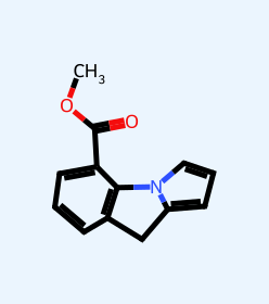 COC(=O)c1cccc2c1-n1cccc1C2